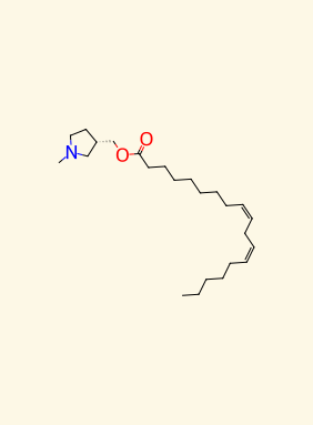 CCCCC/C=C\C/C=C\CCCCCCCC(=O)OC[C@H]1CCN(C)C1